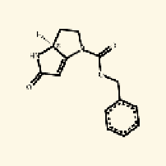 O=C1C=C2[C@H](CCN2C(=O)OCc2ccccc2)N1